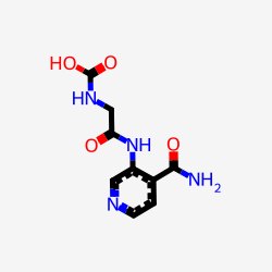 NC(=O)c1ccncc1NC(=O)CNC(=O)O